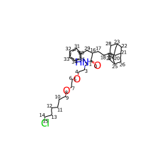 O=C(NCCOCCOCCCCCCCl)C(CCC12CC3CC(CC(C3)C1)C2)Cc1ccccc1